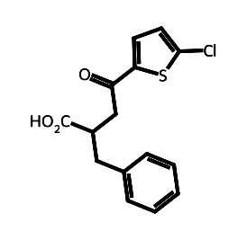 O=C(CC(Cc1ccccc1)C(=O)O)c1ccc(Cl)s1